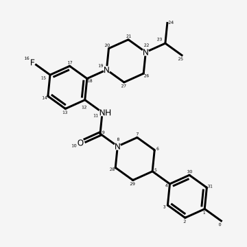 Cc1ccc(C2CCN(C(=O)Nc3ccc(F)cc3N3CCN(C(C)C)CC3)CC2)cc1